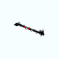 CC1CCN(C(=O)CCOCCOCCOCCOCCOCCOCCOCCC(=O)Oc2c(F)c(F)cc(F)c2F)CC1